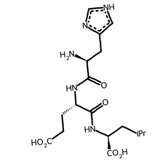 CC(C)C[C@H](NC(=O)[C@H](CCC(=O)O)NC(=O)[C@@H](N)Cc1c[nH]cn1)C(=O)O